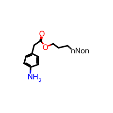 CCCCCCCCCCCCOC(=O)Cc1ccc(N)cc1